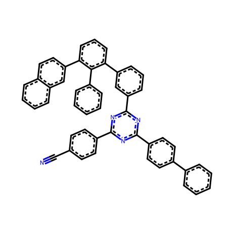 N#Cc1ccc(-c2nc(-c3ccc(-c4ccccc4)cc3)nc(-c3cccc(-c4cccc(-c5ccc6ccccc6c5)c4-c4ccccc4)c3)n2)cc1